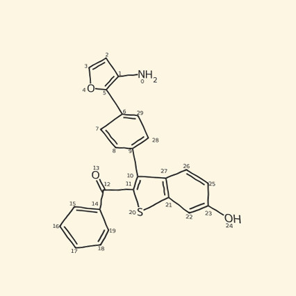 Nc1ccoc1-c1ccc(-c2c(C(=O)c3ccccc3)sc3cc(O)ccc23)cc1